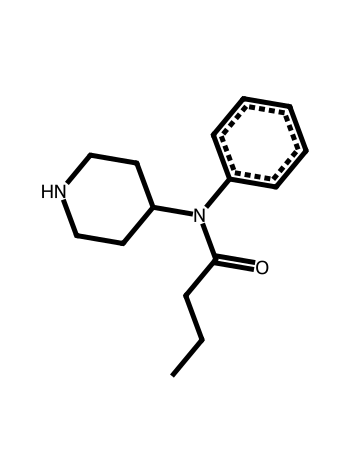 CCCC(=O)N(c1ccccc1)C1CCNCC1